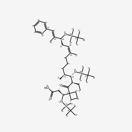 CC[C@@H](C(=O)C1([C@H](CC(=O)O)O[Si](C)(C)C(C)(C)C)CCC1)[C@@H](O[Si](C)(C)C(C)(C)C)[C@@H](C)CCC/C(C)=C\C[C@H](O[Si](C)(C)C(C)(C)C)/C(C)=C/c1ccccn1